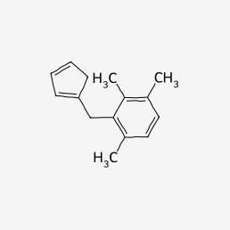 Cc1ccc(C)c(CC2=CC=CC2)c1C